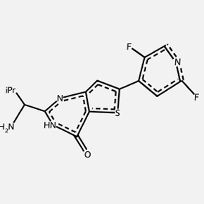 CC(C)C(N)c1nc2cc(-c3cc(F)ncc3F)sc2c(=O)[nH]1